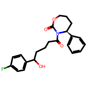 O=C(CCCC(O)c1ccc(F)cc1)N1C(=O)OCCC[C@H]1c1ccccc1